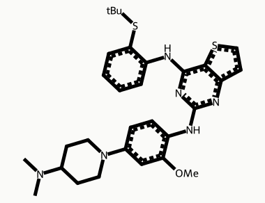 COc1cc(N2CCC(N(C)C)CC2)ccc1Nc1nc(Nc2ccccc2SC(C)(C)C)c2sccc2n1